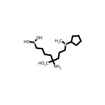 CN(CCCC(N)(CCCCB(O)O)C(=O)O)C1CCCC1